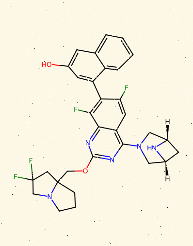 Oc1cc(-c2c(F)cc3c(N4C[C@H]5C[C@@H](C4)N5)nc(OCC45CCCN4CC(F)(F)C5)nc3c2F)c2ccccc2c1